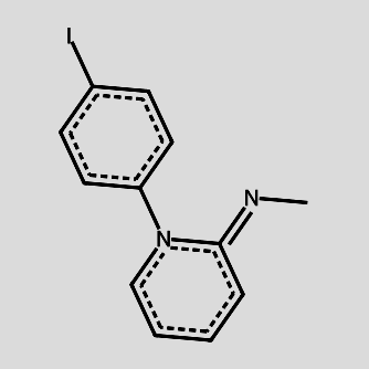 CN=c1ccccn1-c1ccc(I)cc1